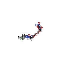 CC1CN(c2ccc(C#N)c(Cl)c2)C(C)CN1C(=O)Nc1ccc(OCCCOCCCOc2ccc3c(c2)C(=O)N(C2CCC(=O)NC2=O)C3=O)nc1